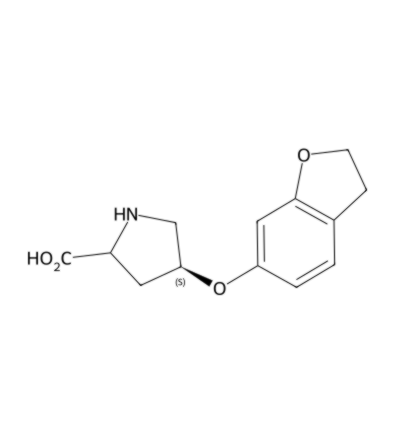 O=C(O)C1C[C@H](Oc2ccc3c(c2)OCC3)CN1